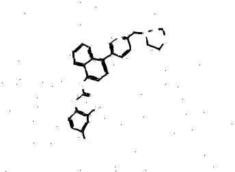 O=C(Nc1ccc(Cl)cc1[N+](=O)[O-])Nc1ccc(-c2ccc(CN3CCOCC3)nc2)c2ccccc12